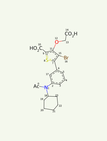 CC(=O)N(c1cccc(-c2sc(C(=O)O)c(OCC(=O)O)c2Br)c1)C1CCCCC1